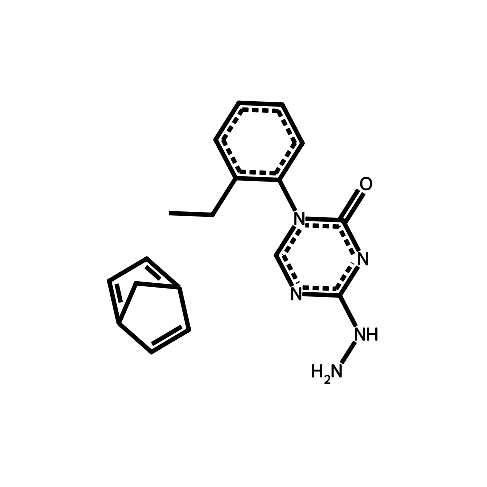 C1=CC2=CC=C1C2.CCc1ccccc1-n1cnc(NN)nc1=O